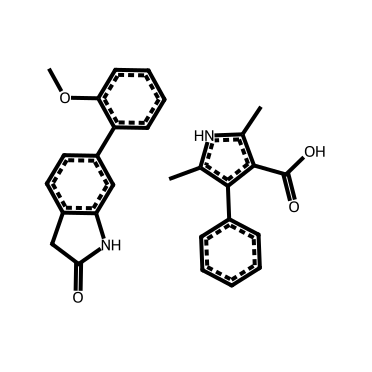 COc1ccccc1-c1ccc2c(c1)NC(=O)C2.Cc1[nH]c(C)c(-c2ccccc2)c1C(=O)O